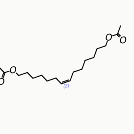 CC(=O)OCCCCCC/C=C\CCCCCCOC(C)=O